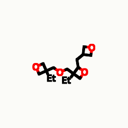 CCC1(COCC2(CC)COC2CC2COC2)COC1